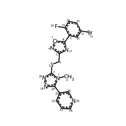 Cn1c(SCc2noc(-c3cc(Br)ccc3F)n2)nnc1-c1cccnc1